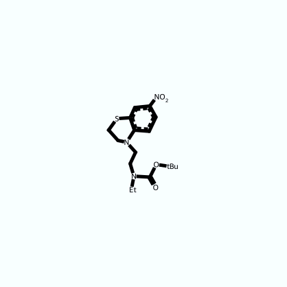 CCN(CCN1CCSc2cc([N+](=O)[O-])ccc21)C(=O)OC(C)(C)C